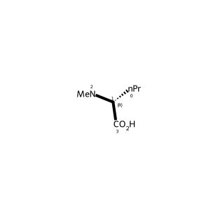 CCC[C@@H](NC)C(=O)O